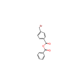 O=C(OC(=O)c1ccc(CBr)cc1)c1ccccc1